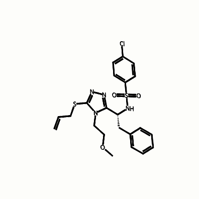 C=CCSc1nnc([C@@H](Cc2ccccc2)NS(=O)(=O)c2ccc(Cl)cc2)n1CCOC